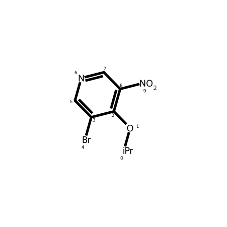 CC(C)Oc1c(Br)cncc1[N+](=O)[O-]